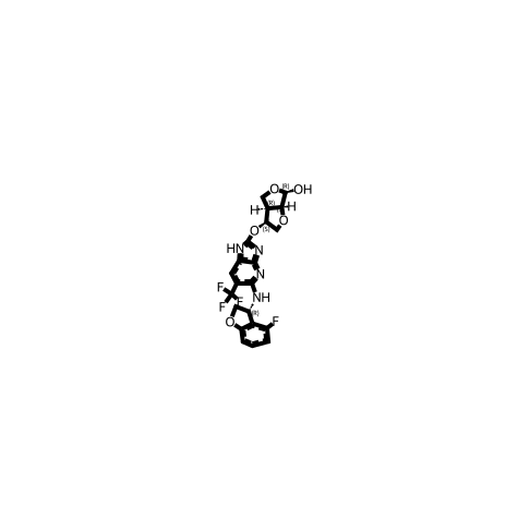 O[C@@H]1OC[C@H]2[C@@H]1OC[C@H]2Oc1nc2nc(N[C@H]3COc4cccc(F)c43)c(C(F)(F)F)cc2[nH]1